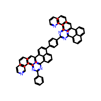 c1ccc(-c2nc(-c3ccc(-c4ccc(-c5ccc(-c6cccnc6)cc5)c5c(-c6nc(-c7ccccc7)nc(-c7ccccc7)n6)cccc45)cc3)nc(-c3cccc4cccc(-c5ccc(-c6ccccn6)cc5)c34)n2)cc1